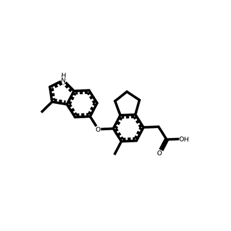 Cc1cc(CC(=O)O)c2c(c1Oc1ccc3[nH]cc(C)c3c1)CCC2